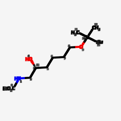 CCOC(=O)NC[C@H](O)CCCCO[Si](C)(C)C(C)(C)C